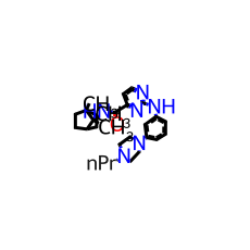 CCCN1CCN(c2cccc(Nc3nccc(C(=O)NC4CC5CCC4(C)C5(C)C)n3)c2)CC1